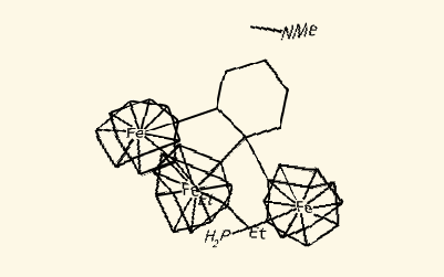 CC[C]12[CH]3[CH]4[CH]5[C]1(C1CCCCC1([C]16[CH]7[CH]8[CH]9[C]1(P)[Fe]89761%10%11%12[CH]6[CH]1[CH]%10[CH]%11[CH]6%12)[C]16[CH]7[CH]8[CH]9[C]1(CC)[Fe]89761%10%11%12[CH]6[CH]1[CH]%10[CH]%11[CH]6%12)[Fe]43521678[CH]2[CH]1[CH]6[CH]7[CH]28.CNC